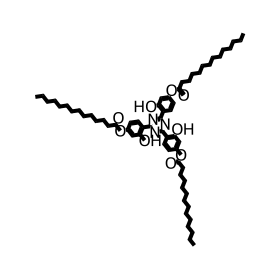 CCCCCCCCCCCCCC(=O)Oc1ccc(-c2nc(-c3ccc(OC(=O)CCCCCCCCCCCCC)cc3O)nc(-c3ccc(OC(=O)CCCCCCCCCCCCC)cc3O)n2)c(O)c1